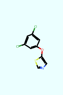 Clc1cc(Cl)cc(Oc2cn[c]s2)c1